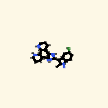 Cc1[nH]c2ccc(Cl)cc2c1-c1nc2c3cccnc3c3ncccc3c2[nH]1